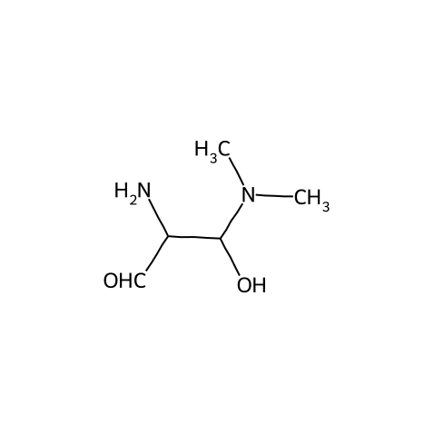 CN(C)C(O)C(N)C=O